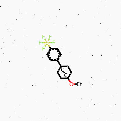 CCOC12CCC(c3ccc(S(F)(F)(F)(F)F)cc3)(CC1)CC2